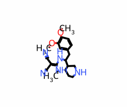 CNC(NC(Cc1ccc(OC)c(OC)c1)C1CCCNC1)=C(C#N)C#N